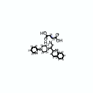 NCC(C1CC=c2ccccc2=N1)N1CCN(c2ccccn2)CC1.O=C(O)/C=C/C(=O)O